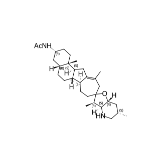 CC(=O)N[C@@H]1CC[C@@]2(C)[C@H](CC[C@H]3[C@@H]4CCC5(CC(C)=C4C[C@@H]32)O[C@@H]2C[C@H](C)CN[C@H]2[C@H]5C)C1